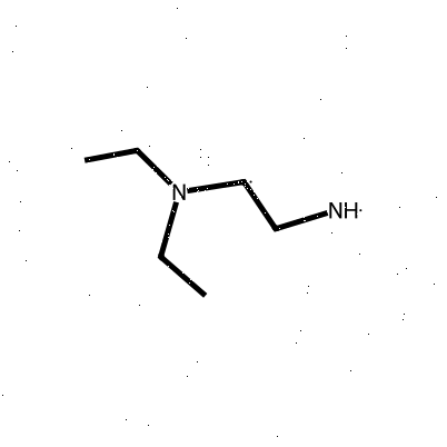 CCN([CH]C[NH])CC